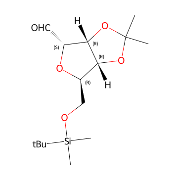 CC1(C)O[C@@H]2[C@H](O1)[C@@H](CO[Si](C)(C)C(C)(C)C)O[C@@H]2C=O